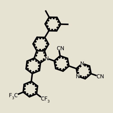 Cc1cc(C)cc(-c2ccc3c4ccc(-c5cc(C(F)(F)F)cc(C(F)(F)F)c5)cc4n(-c4ccc(-c5ncc(C#N)cn5)cc4C#N)c3c2)c1